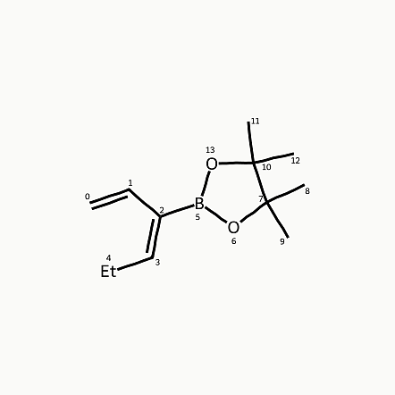 C=C/C(=C\CC)B1OC(C)(C)C(C)(C)O1